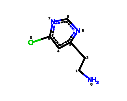 NCCc1cc(Cl)ncn1